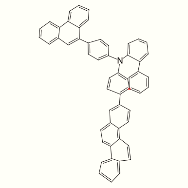 c1ccc(-c2ccccc2N(c2ccc(-c3ccc4c(ccc5c6ccccc6ccc45)c3)cc2)c2ccc(-c3cc4ccccc4c4ccccc34)cc2)cc1